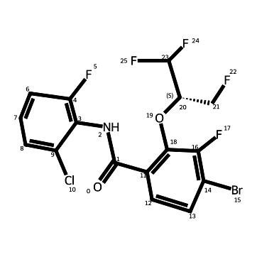 O=C(Nc1c(F)cccc1Cl)c1ccc(Br)c(F)c1O[C@@H](CF)C(F)F